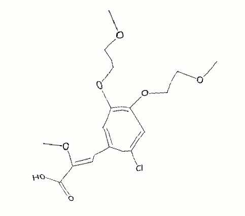 COCCOc1cc(Cl)c(C=C(OC)C(=O)O)cc1OCCOC